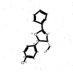 FC[C@H]1N=C(c2ccccc2)O[C@@H]1c1ccc(Cl)cc1